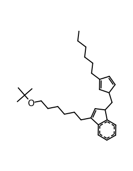 CCCCCCC1=CC(CC2C=C(CCCCCCOC(C)(C)C)c3ccccc32)C=C1